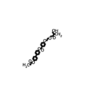 C=CC(=O)Oc1ccc(-c2ccc(OC(=O)c3ccc(OCCOCC(=O)C(=C)CO)cc3)cc2)cc1